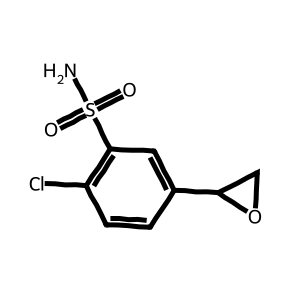 NS(=O)(=O)c1cc(C2CO2)ccc1Cl